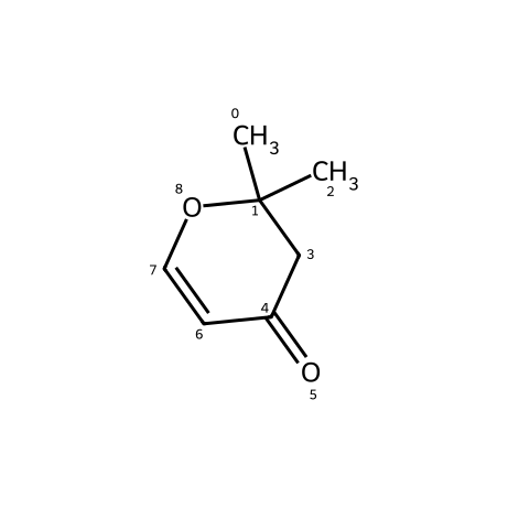 CC1(C)CC(=O)C=CO1